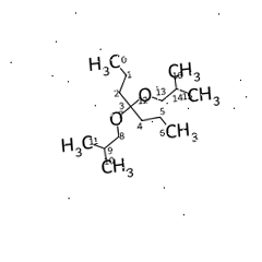 CCCC(CCC)(OCC(C)C)OCC(C)C